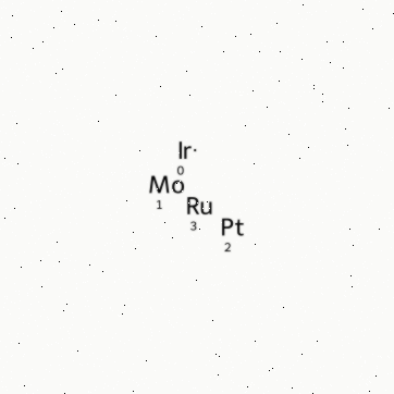 [Ir].[Mo].[Pt].[Ru]